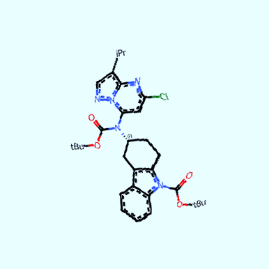 CC(C)c1cnn2c(N(C(=O)OC(C)(C)C)[C@@H]3CCc4c(c5ccccc5n4C(=O)OC(C)(C)C)C3)cc(Cl)nc12